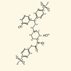 CCN(C(=O)Cc1ccc(S(C)(=O)=O)cc1)C1CCN(CCC(c2ccc(S(C)(=O)=O)cc2)c2cccc(Cl)c2)CC1.Cl